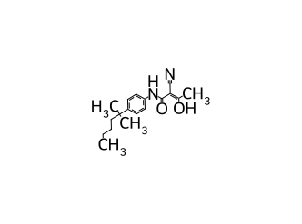 CCCCC(C)(C)c1ccc(NC(=O)/C(C#N)=C(/C)O)cc1